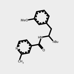 CCCCC(Cc1cccc(OC)c1)NC(=O)c1ccnc(C)c1